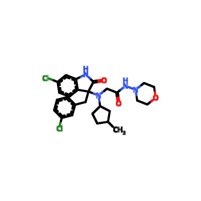 CC1CCC(N(CC(=O)NN2CCOCC2)C2(Cc3cccc(Cl)c3)C(=O)Nc3cc(Cl)ccc32)C1